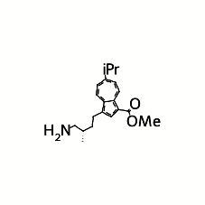 COC(=O)c1cc(CC[C@H](C)CN)c2ccc(C(C)C)ccc1-2